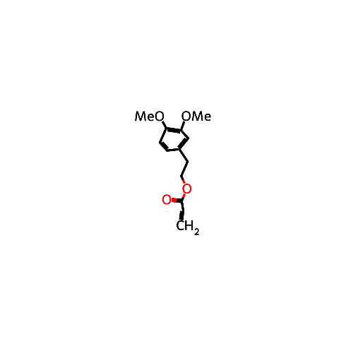 C=CC(=O)OCCc1ccc(OC)c(OC)c1